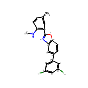 CCCNc1ccc([N+](=O)[O-])cc1-c1nc2cc(-c3cc(F)cc(F)c3)ccc2o1